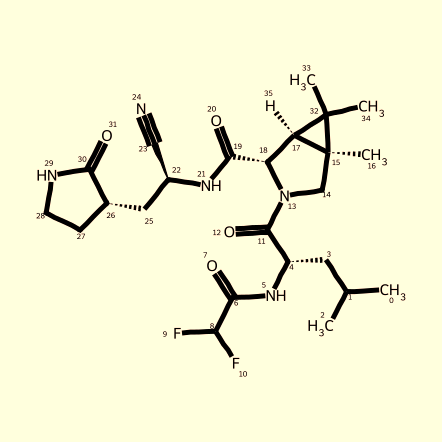 CC(C)C[C@H](NC(=O)C(F)F)C(=O)N1C[C@@]2(C)[C@@H]([C@H]1C(=O)N[C@H](C#N)C[C@@H]1CCNC1=O)C2(C)C